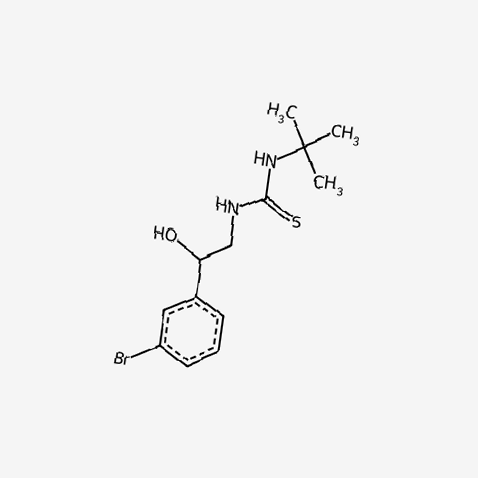 CC(C)(C)NC(=S)NCC(O)c1cccc(Br)c1